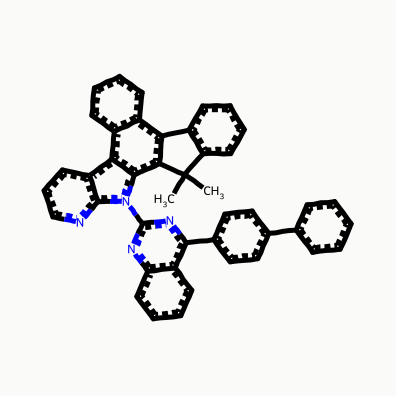 CC1(C)c2ccccc2-c2c1c1c(c3ccccc23)c2cccnc2n1-c1nc(-c2ccc(-c3ccccc3)cc2)c2ccccc2n1